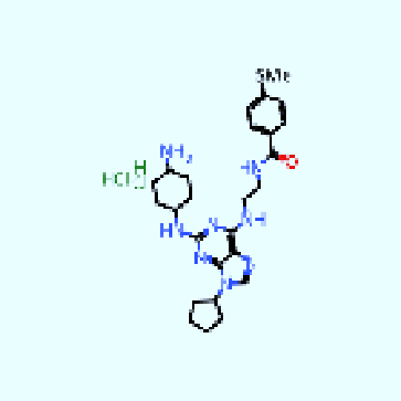 CSc1ccc(C(=O)NCCNc2nc(NC3CCC(N)CC3)nc3c2ncn3C2CCCC2)cc1.Cl.Cl